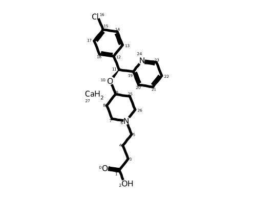 O=C(O)CCCN1CCC(O[C@@H](c2ccc(Cl)cc2)c2ccccn2)CC1.[CaH2]